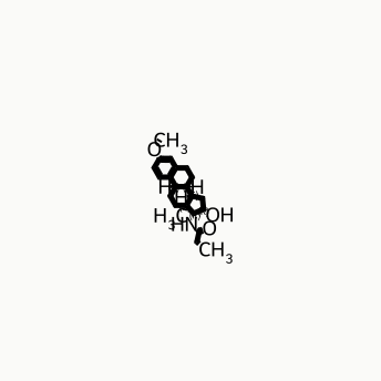 CCC(=O)N[C@H]1[C@H](O)C[C@H]2[C@@H]3CCc4cc(OC)ccc4[C@H]3CC[C@@]21C